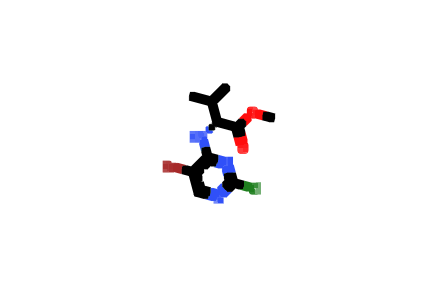 COC(=O)[C@H](Nc1nc(Cl)ncc1Br)C(C)C